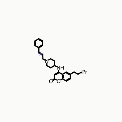 CC(C)CCc1ccc2oc(=O)cc(NC3CCN(C/C=C/c4ccccc4)CC3)c2c1